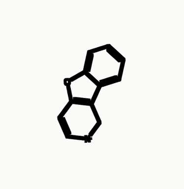 C1=Cc2oc3ccccc3c2C[N]1